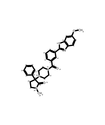 COc1ccc2nc(-c3cccc(C(=O)N4CCN(C5(c6ccccc6)CCN(C)C5=O)CC4)c3)sc2c1